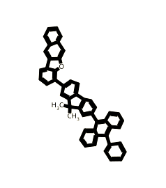 CC1(C)c2cc(-c3c4ccccc4c(-c4ccccc4)c4ccccc34)ccc2-c2ccc(-c3cccc4c3oc3cc5ccccc5cc34)cc21